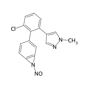 Cn1cc(-c2cccc(Cl)c2-c2ccc3c(c2)N3N=O)cn1